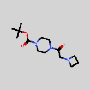 CC(C)(C)OC(=O)N1CCN(C(=O)CN2CCC2)CC1